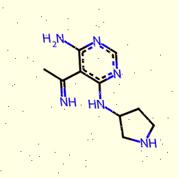 CC(=N)c1c(N)ncnc1NC1CCNC1